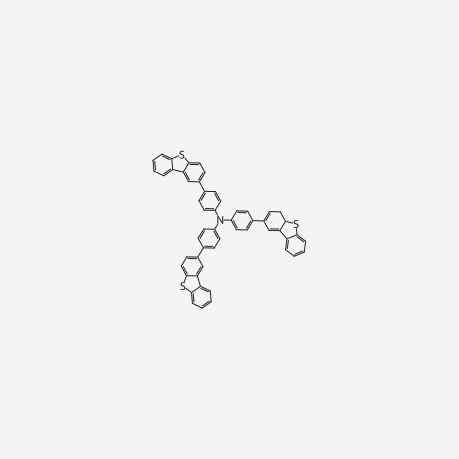 C1=C(c2ccc(N(c3ccc(-c4ccc5sc6ccccc6c5c4)cc3)c3ccc(-c4ccc5sc6ccccc6c5c4)cc3)cc2)C=C2c3ccccc3SC2C1